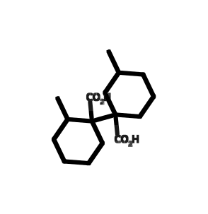 CC1CCCC(C(=O)O)(C2(C(=O)O)CCCCC2C)C1